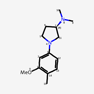 COc1cc(N2CC[C@@H](N(C)C)C2)ccc1C